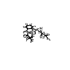 CC(NC(=O)C(F)(F)F)c1ccccc1OCCNC(=O)OC(C)(C)C